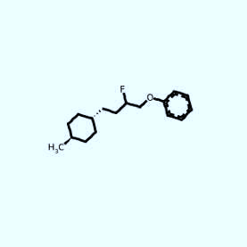 C[C@H]1CC[C@H](CCC(F)COc2ccccc2)CC1